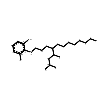 CCCCCCCCC(CCCOc1c(C)cccc1F)C(C)CC(C)C